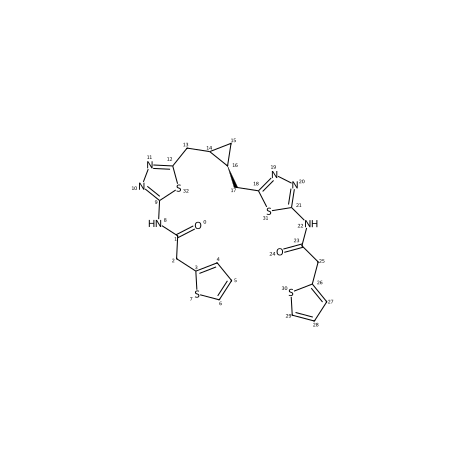 O=C(Cc1cccs1)Nc1nnc(CC2C[C@H]2Cc2nnc(NC(=O)Cc3cccs3)s2)s1